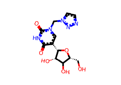 O=c1[nH]c(=O)n(Cn2ccnn2)cc1[C@@H]1O[C@H](CO)C(O)[C@@H]1O